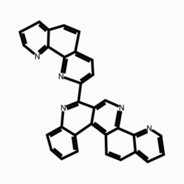 c1cnc2c(c1)ccc1ccc(-c3nc4ccccc4c4c3cnc3c4ccc4cccnc43)nc12